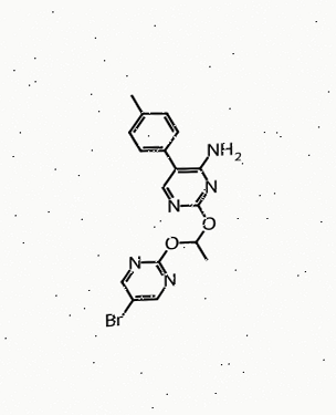 Cc1ccc(-c2cnc(OC(C)Oc3ncc(Br)cn3)nc2N)cc1